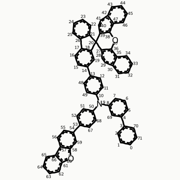 c1ccc(-c2cccc(N(c3ccc(-c4ccc5c(c4)C4(c6ccccc6-5)c5ccc6ccccc6c5Oc5c4ccc4ccccc54)cc3)c3ccc(-c4ccc5c(c4)oc4ccccc45)cc3)c2)cc1